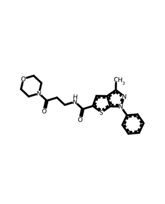 Cc1nn(-c2ccccc2)c2sc(C(=O)NCCC(=O)N3CCOCC3)cc12